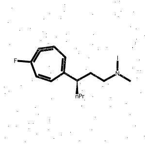 CCC[C@H](CCN(C)I)C1=CC=C=C(F)C=C1